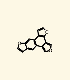 c1cc2cc3c(cc2o1)c1ccoc1c1cocc31